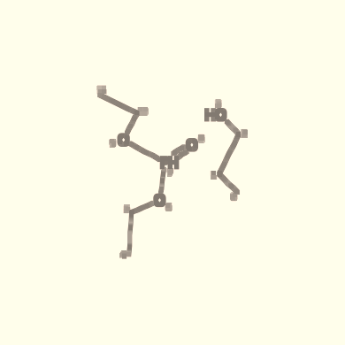 CCCO.CCO[PH](=O)OCC